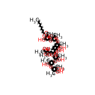 CCCCCCCCCC(=O)O[C@@H]1C(C)O[C@@H](O[C@@H]2C[C@H](Oc3cc4cc5c(c(O)c4c(O)c3C)C(=O)[C@@H](O[C@H]3C[C@@H](O[C@@H]4CC(C)[C@H](O)[C@H](O[C@@H]6CC(C)[C@@H](O)[C@@](C)(O)C6)C4)[C@H](O)C(C)O3)[C@H]([C@H](OC)C(=O)[C@@H](O)[C@@H](C)O)C5)OC(C)[C@H]2O)C[C@H]1O